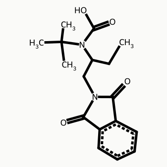 CCC(CN1C(=O)c2ccccc2C1=O)N(C(=O)O)C(C)(C)C